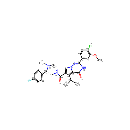 COc1cc(-c2nn3cc(C(=O)NC[C@H](c4ccc(F)cc4)N(C)C)c(C(C)C)c3c(=O)[nH]2)ccc1Cl